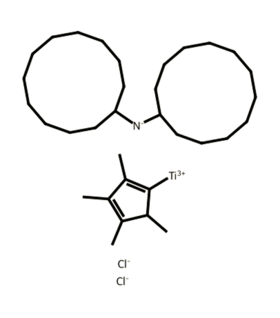 C1CCCCCC([N-]C2CCCCCCCCCCC2)CCCCC1.CC1=C(C)C(C)[C]([Ti+3])=C1C.[Cl-].[Cl-]